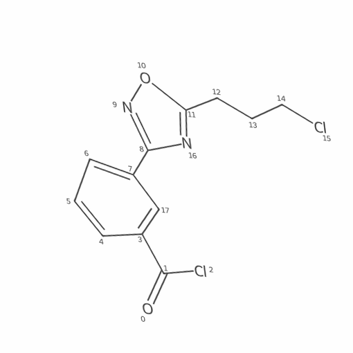 O=C(Cl)c1cccc(-c2noc(CCCCl)n2)c1